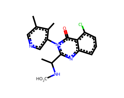 Cc1cncc(-n2c(C(C)NC(=O)O)nc3cccc(Cl)c3c2=O)c1C